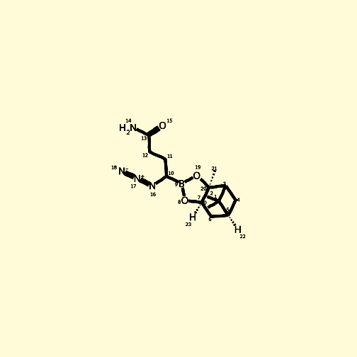 CC1(C)C2C[C@H]1C[C@H]1OB(C(CCC(N)=O)N=[N+]=[N-])O[C@@]21C